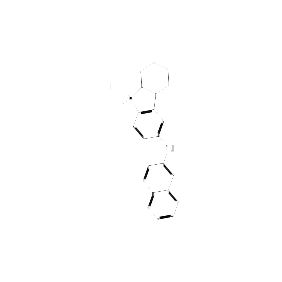 CC1(C)c2ccc(Nc3ccc4ccccc4c3)cc2C2CCCCC21